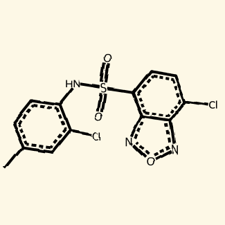 Cc1ccc(NS(=O)(=O)c2ccc(Cl)c3nonc23)c(Cl)c1